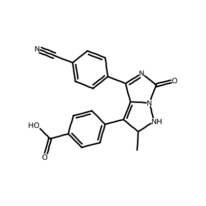 CC1NN2C(=O)N=C(c3ccc(C#N)cc3)C2=C1c1ccc(C(=O)O)cc1